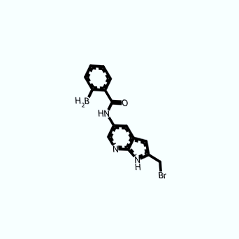 Bc1ccccc1C(=O)Nc1cnc2[nH]c(CBr)cc2c1